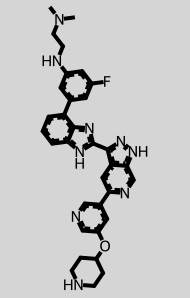 CN(C)CCNc1cc(F)cc(-c2cccc3[nH]c(-c4n[nH]c5cnc(-c6cncc(OC7CCNCC7)c6)cc45)nc23)c1